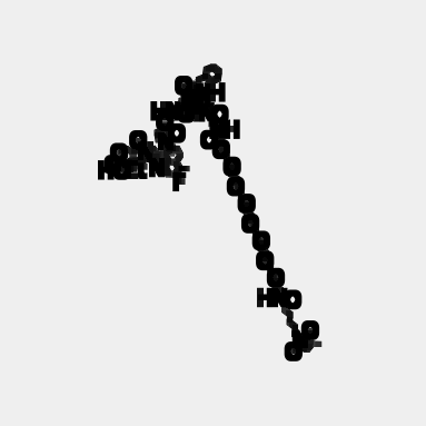 CC[C@@]1(O)C(=O)OCc2c1cc1n(c2=O)Cc2c-1nc1cc(F)c(C)c3c1c2[C@@H](N1CCC(OCNC(=O)CNC(=O)[C@H](Cc2ccccc2)NC(=O)CNC(=O)CNC(=O)COCCOCCOCCOCCOCCOCCOCCOCCNC(=O)CCCCCN2C(=O)CC(C)C2=O)C1=O)CC3